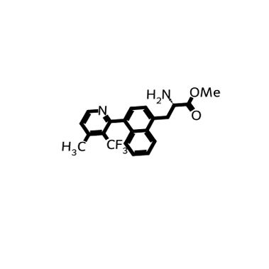 COC(=O)[C@@H](N)Cc1ccc(-c2nccc(C)c2C(F)(F)F)c2ccccc12